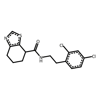 O=C(NCCc1ccc(Cl)cc1Cl)C1CCCc2ncsc21